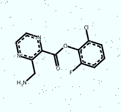 NCc1nccnc1C(=O)Oc1c(F)cccc1Cl